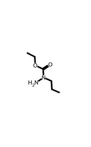 CCCN(N)C(=O)OCC